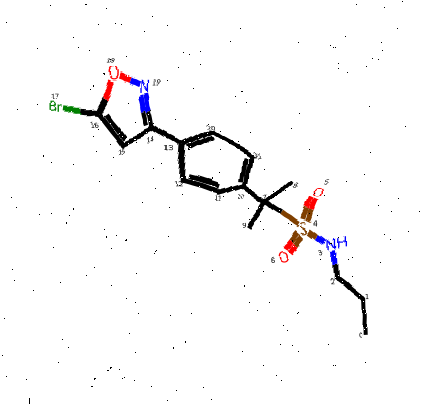 CCCNS(=O)(=O)C(C)(C)c1ccc(-c2cc(Br)on2)cc1